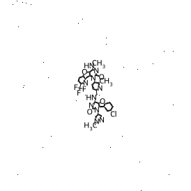 CNc1nc(=O)n(-c2ccc(CNc3nc(=O)n(-c4cnn(C)c4)c4c3oc3ccc(Cl)cc34)nc2C)c2c1oc1ccc(C(F)(F)F)nc12